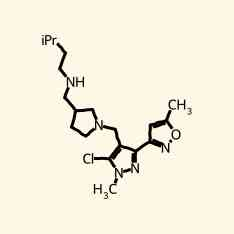 Cc1cc(-c2nn(C)c(Cl)c2CN2CCC(CNCCC(C)C)C2)no1